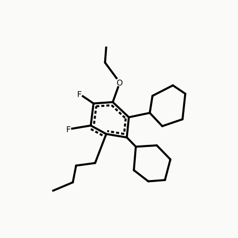 CCCCc1c(F)c(F)c(OCC)c(C2CCCCC2)c1C1CCCCC1